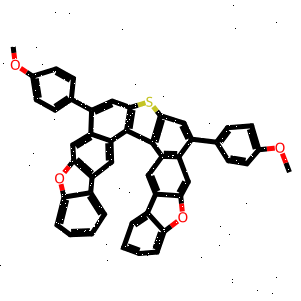 COc1ccc(-c2cc3sc4cc(-c5ccc(OC)cc5)c5cc6oc7ccccc7c6cc5c4c3c3cc4c(cc23)oc2ccccc24)cc1